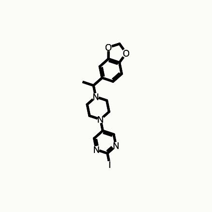 CC(c1ccc2c(c1)OCO2)N1CCN(c2cnc(I)nc2)CC1